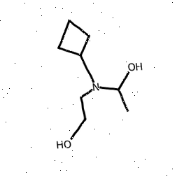 CC(O)N(CCO)C1CCC1